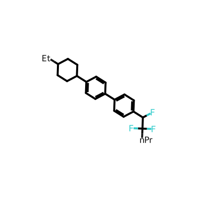 CCCC(F)(F)C(F)c1ccc(-c2ccc(C3CCC(CC)CC3)cc2)cc1